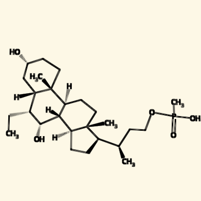 CC[C@H]1[C@@H](O)[C@@H]2[C@H](CC[C@]3(C)[C@@H]([C@H](C)CCOP(C)(=O)O)CC[C@@H]23)[C@@]2(C)CC[C@@H](O)C[C@@H]12